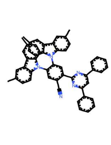 Cc1ccc2c(c1)c1cc(C)ccc1n2-c1cc(C#N)c(-c2nc(-c3ccccc3)cc(-c3ccccc3)n2)cc1-n1c2ccc(C)cc2c2cc(C)ccc21